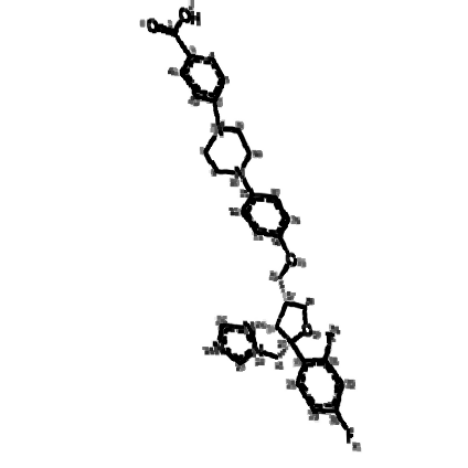 O=C(O)c1ccc(N2CCN(c3ccc(OC[C@@H]4CO[C@@](Cn5cncn5)(c5ccc(F)cc5F)C4)cc3)CC2)cc1